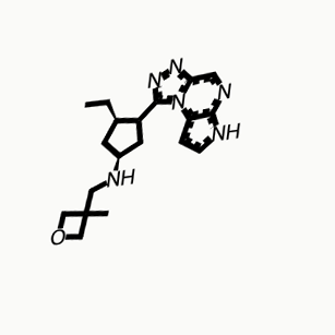 CC[C@@H]1C[C@H](NCC2(C)COC2)CC1c1nnc2cnc3[nH]ccc3n12